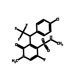 CNS(=O)(=O)c1c(F)cn(C)c(=O)c1C(c1ccc(Cl)cc1)C(F)(F)F